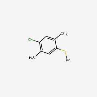 CC(=O)Sc1cc(C)c(Cl)cc1C